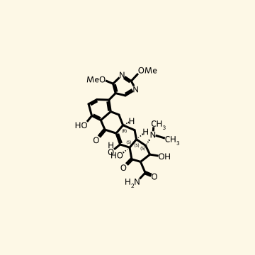 COc1ncc(-c2ccc(O)c3c2C[C@H]2C[C@H]4[C@H](N(C)C)C(O)C(C(N)=O)C(=O)[C@@]4(O)C(O)=C2C3=O)c(OC)n1